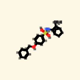 O=C(O)C1C2CCC(C2)C1NS(=O)(=O)c1ccc(OCc2ccccc2)cc1